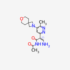 CC(=O)NC(=O)/C(=C\N)c1cc(N2CC3(CCOCC3)C2)c(C)nn1